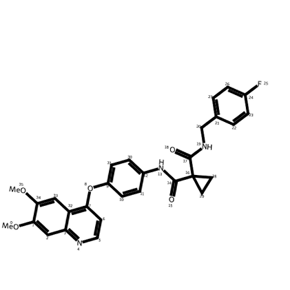 COc1cc2nccc(Oc3ccc(NC(=O)C4(C(=O)NCc5ccc(F)cc5)CC4)cc3)c2cc1OC